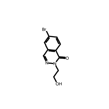 O=c1c2ccc(Br)cc2cnn1CCO